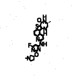 C[C@@H]1CNc2c(sc3ccc4nc(Nc5cc(F)nc(O[C@@H]6CCN(C)C6)n5)ccc4c23)C(=O)N1